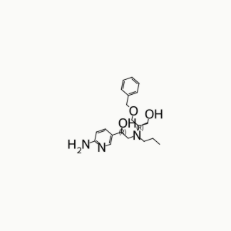 CCCN(C[C@H](O)c1ccc(N)nc1)[C@H](CO)COCc1ccccc1